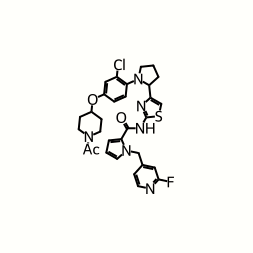 CC(=O)N1CCC(Oc2ccc(N3CCCC3c3csc(NC(=O)c4cccn4Cc4ccnc(F)c4)n3)c(Cl)c2)CC1